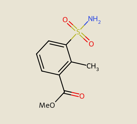 COC(=O)c1cccc(S(N)(=O)=O)c1C